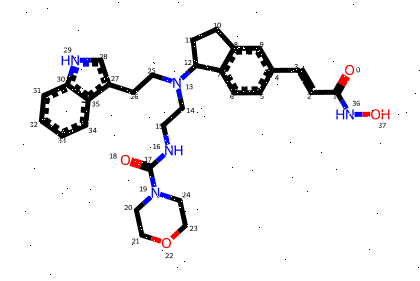 O=C(/C=C/c1ccc2c(c1)CCC2N(CCNC(=O)N1CCOCC1)CCc1c[nH]c2ccccc12)NO